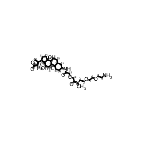 CN(CCOCCOCCN)C(=O)COCC(=O)NC1CCC2(C)C(CCC3C2CC(O)C2(C)C(C4=CC(=O)OC4)CCC32O)C1